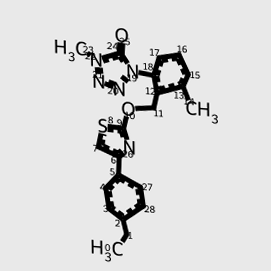 CCc1ccc(-c2csc(OCc3c(C)cccc3-n3nnn(C)c3=O)n2)cc1